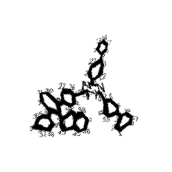 c1ccc(-c2ccc(-c3nc(-c4ccc(-c5ccccc5)cc4)nc(-c4ccc(-c5cccc(-c6ccccc6)c5-c5ccc6ccccc6c5)cc4)n3)cc2)cc1